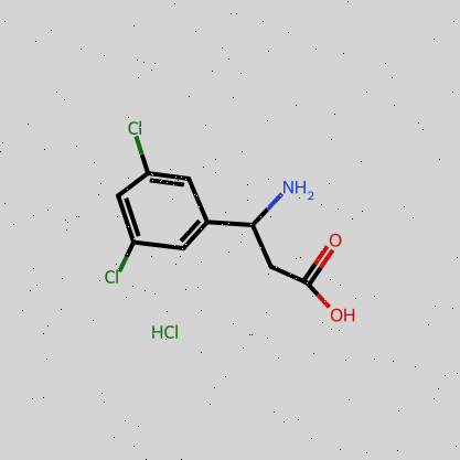 Cl.NC(CC(=O)O)c1cc(Cl)cc(Cl)c1